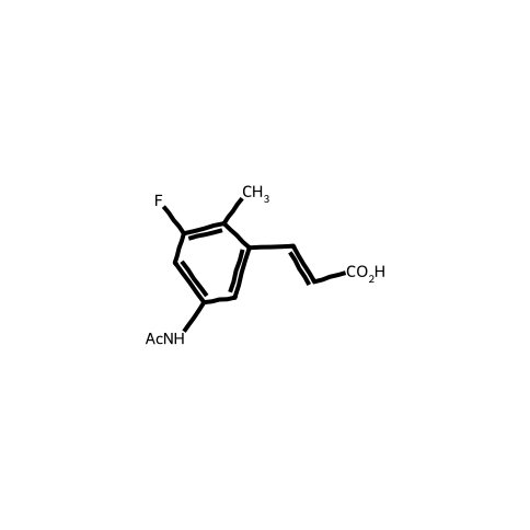 CC(=O)Nc1cc(F)c(C)c(C=CC(=O)O)c1